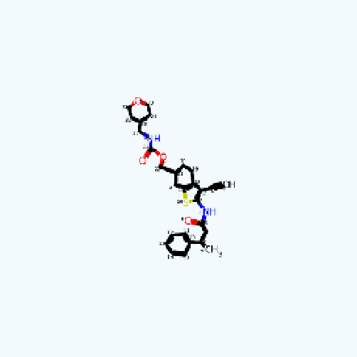 C#Cc1c(NC(=O)CC(C)c2ccccc2)sc2c1CCC(COC(=O)NCC1CCOCC1)C2